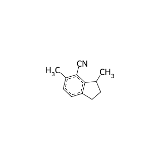 Cc1ccc2c(c1C#N)C(C)CC2